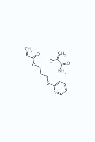 C=C(C)C(N)=O.C=CC(=O)OCCSSc1ccccn1